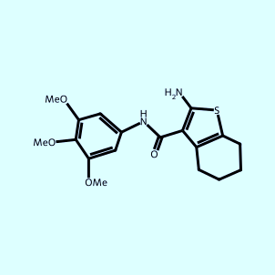 COc1cc(NC(=O)c2c(N)sc3c2CCCC3)cc(OC)c1OC